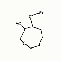 CCOC1CCCCCCC1O